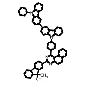 CC1(C)c2ccccc2-c2ccc(-c3nc(-c4ccc(-n5c6ccccc6c6cc(-c7ccc8c(c7)c7ccccc7n8-c7ccccc7)ccc65)cc4)c4c(ccc5ccccc54)n3)cc21